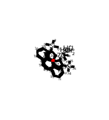 C[Si](C)(C)C1=Cc2ccc3ccccc3c2[CH]1[Zr]([CH3])([CH3])(=[SiH2])[CH]1C([Si](C)(C)C)=Cc2ccc3ccccc3c21.Cl.Cl